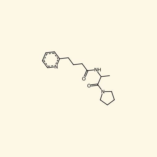 CC(NC(=O)CCCc1ccccn1)C(=O)N1CCCC1